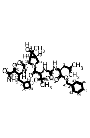 CC(C)C[C@H](NC(=O)N[C@H](C(=O)N1C[C@H]2[C@@H]([C@H]1C(=O)NC(CC1CCC1)C(=O)C(N)=O)C2(C)C)C(C)(C)C)C(=O)OCc1ccccc1